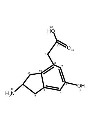 NC1Cc2cc(O)cc(CC(=O)O)c2C1